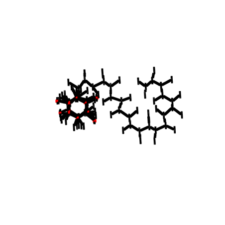 II(I)I(I)I(I)I(I)I(I)I(I)I(I)I(I)I(I)I(I)I(I)I(I)I(I)I(I)I(I)I(I)I(I)I(I)I(I)I(I)I(I)I(I)I(I)I(I)I(I)I(I)I(I)I(I)I(I)I(I)I(I)I(I)I(I)I(I)I(I)I(I)I(I)I(I)I(I)I(I)I(I)I(I)I(I)I(I)I(I)I(I)I(I)I(I)I(I)I(I)I